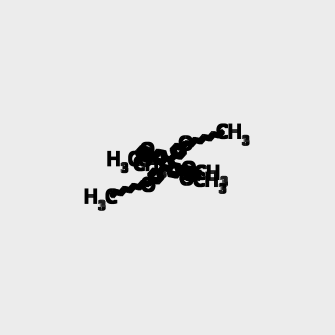 CCCCCCCCOc1ccc(-c2c3ccc(B4OCCC(C)(C)O4)cc3c(-c3ccc(OCCCCCCCC)cc3)c3ccc(B4OCC(C)(C)CO4)cc23)cc1